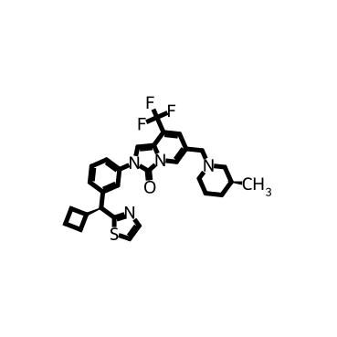 C[C@H]1CCCN(Cc2cc(C(F)(F)F)c3cn(-c4cccc([C@@H](c5nccs5)C5CCC5)c4)c(=O)n3c2)C1